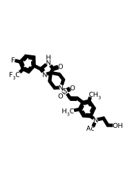 CC(=O)N(CCO)c1cc(C)c(C=CS(=O)(=O)N2CCC3(CC2)N=C(c2ccc(F)c(C(F)(F)F)c2)NC3=O)c(C)c1